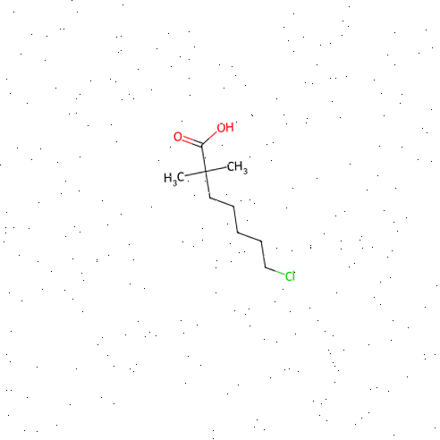 CC(C)(CCCCCCl)C(=O)O